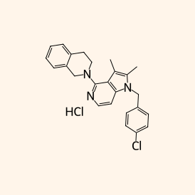 Cc1c(C)n(Cc2ccc(Cl)cc2)c2ccnc(N3CCc4ccccc4C3)c12.Cl